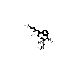 C=C(/C=C(\C=N/CC(=C)NCN)c1cccc(Cl)c1)CCC